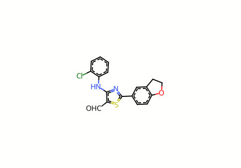 O=Cc1sc(-c2ccc3c(c2)CCO3)nc1Nc1ccccc1Cl